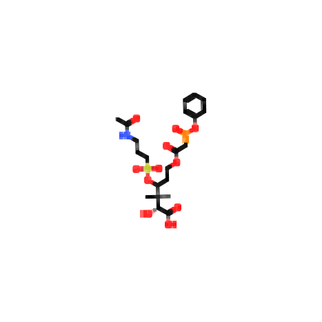 CC(=O)NCCCS(=O)(=O)OC(CCOC(=O)C[PH](=O)Oc1ccccc1)C(C)(C)[C@@H](O)C(=O)O